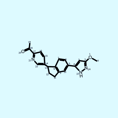 COc1cc(-c2ccc3c(c2)CCC3c2ccc(C(C)=O)nc2)[nH]n1